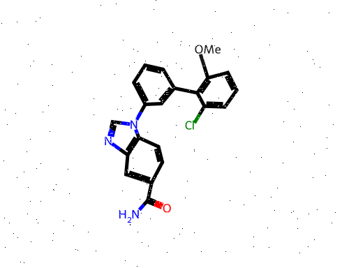 COc1cccc(Cl)c1-c1cccc(-n2cnc3cc(C(N)=O)ccc32)c1